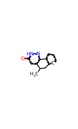 CC1Cc2ccccc2-c2n[nH]c(=O)cc21